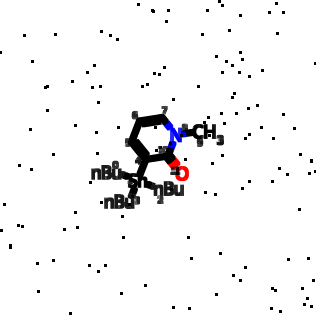 CCC[CH2][Sn]([CH2]CCC)([CH2]CCC)[c]1cccn(C)c1=O